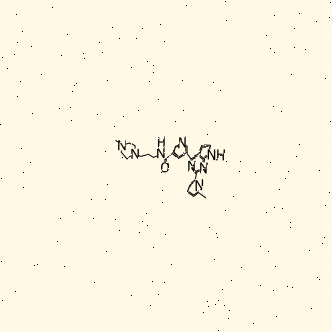 Cc1cccc(-c2nc(-c3cncc(C(=O)NCCCN4CCN(C)CC4)c3)c3cc[nH]c3n2)n1